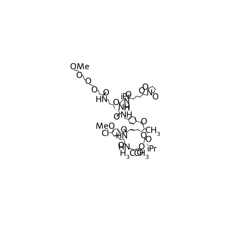 COCCOCCOCCOCCC(=O)NCCCC[C@H](NC(=O)[C@@H](NC(=O)CCCC(=O)CN1C(=O)CCC1=O)C(C)C)C(=O)NCc1ccc([C@H]2O[C@@H]2[C@@H](C)[C@@H]2C/C=C/C(=O)N[C@H](Cc3ccc(OC)c(Cl)c3)C(=O)NCC(C)(C)C(=O)O[C@@H](CC(C)C)C(=O)O2)cc1